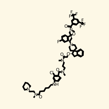 CN(CCN1CCCCC1)C(=O)CCCCCNc1ccc(C(=O)N(C)CCCN(C)C(=O)CO[C@H]2Cc3ccccc3C23CCN(CC[C@@]2(c4ccc(F)cc4)CN(C(=O)c4cc(C(F)(F)F)cc(C(F)(F)F)c4)CO2)CC3)c(Cl)c1